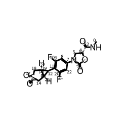 CNC(=O)[C@H]1CN(c2cc(F)c(C3[C@H]4CS(=O)(=O)C[C@@H]34)c(F)c2)C(=O)O1